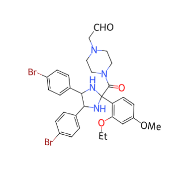 CCOc1cc(OC)ccc1C1(C(=O)N2CCN(CC=O)CC2)NC(c2ccc(Br)cc2)C(c2ccc(Br)cc2)N1